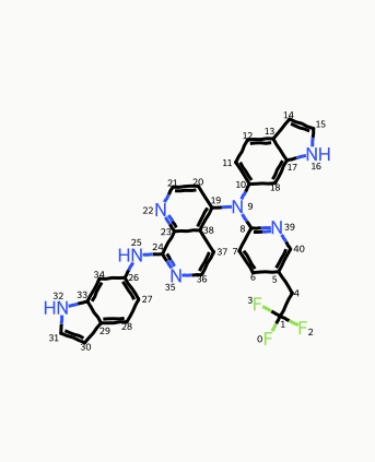 FC(F)(F)Cc1ccc(N(c2ccc3cc[nH]c3c2)c2ccnc3c(Nc4ccc5cc[nH]c5c4)nccc23)nc1